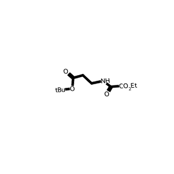 CCOC(=O)C(=O)NCCC(=O)OC(C)(C)C